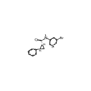 CN(C(=O)[C@@H]1C[C@H]1c1ccccc1)c1cncc(Br)c1